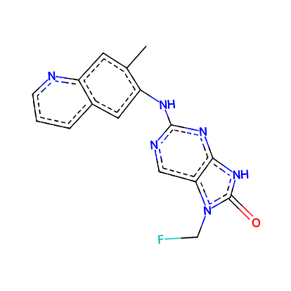 Cc1cc2ncccc2cc1Nc1ncc2c(n1)[nH]c(=O)n2CF